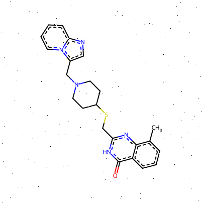 Cc1cccc2c(=O)[nH]c(CSC3CCN(Cc4cnc5ccccn45)CC3)nc12